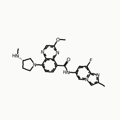 CN[C@H]1CCN(c2ccc(C(=O)Nc3cc(F)c4nc(C)cn4c3)c3nc(OC)cnc23)C1